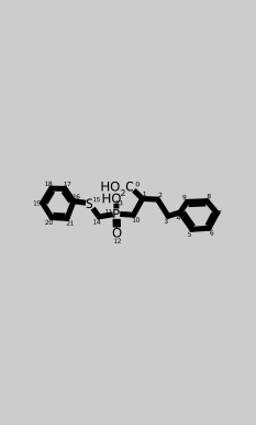 O=C(O)C(CCc1ccccc1)CP(=O)(O)CSc1ccccc1